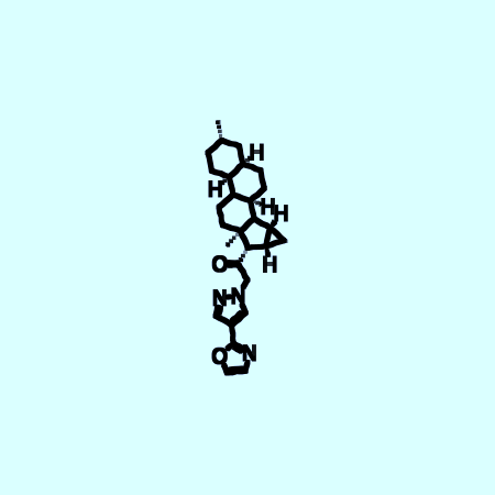 C[C@H]1CC[C@@H]2C3CC[C@@]4(C)C([C@@H]3CC[C@@H]2C1)[C@@H]1C[C@@H]1[C@@H]4C(=O)Cn1cc(-c2ncco2)cn1